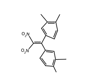 Cc1ccc(C(=C([N+](=O)[O-])[N+](=O)[O-])c2ccc(C)c(C)c2)cc1C